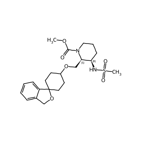 COC(=O)N1CCC[C@@H](NS(C)(=O)=O)[C@H]1COC1CCC2(CC1)OCc1ccccc12